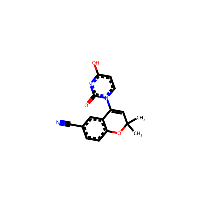 CC1(C)C=C(n2ccc(O)nc2=O)c2cc(C#N)ccc2O1